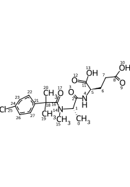 C[C@@H](C(=O)N[C@H](CCC(=O)O)C(=O)O)N(C)C(=O)C(C)(C)c1ccc(Cl)cc1